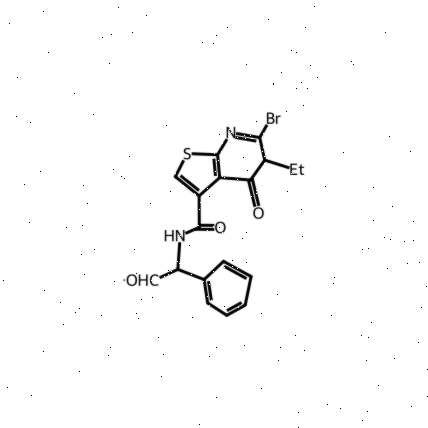 CCC1C(=O)c2c(C(=O)NC([C]=O)c3ccccc3)csc2N=C1Br